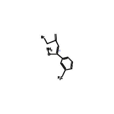 C=C(/C=C(\ON)c1cccc(C(F)(F)F)c1)CBr